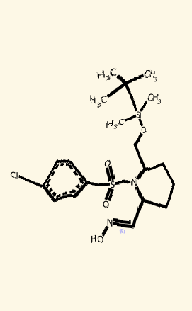 CC(C)(C)[Si](C)(C)OCC1CCCC(/C=N/O)N1S(=O)(=O)c1ccc(Cl)cc1